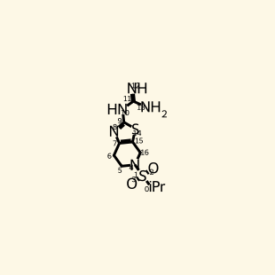 CC(C)S(=O)(=O)N1CCc2nc(NC(=N)N)sc2C1